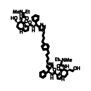 CC[C@H](NC)C(=O)N[C@@H]1C(=O)N2[C@@H](CC[C@@H]1CCO)CC[C@H]2C(=O)N[C@@H](c1ccccc1)c1cn(CCCCc2ccc(CCCCn3cc([C@@H](NC(=O)[C@@H]4CC[C@@H]5CC[C@H](CO)[C@H](NC(=O)[C@H](CC)NC)C(=O)N54)c4ccccc4)nn3)cc2)nn1